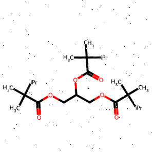 CC(C)C(C)(C)C(=O)OCC(COC(=O)C(C)(C)C(C)C)OC(=O)C(C)(C)C(C)C